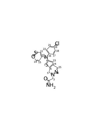 NC(=O)CN1Cc2sc(N(C3=CSOC=C3)c3ccc(Cl)cc3)cc2C=N1